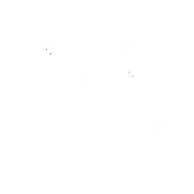 COC(N)=O.c1cc2c3cc1NC3CCO2